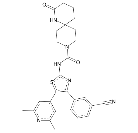 Cc1cc(-c2sc(NC(=O)N3CCC4(CCCC(=O)N4)CC3)nc2-c2cccc(C#N)c2)cc(C)n1